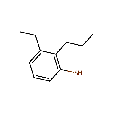 CCCc1c(S)cccc1CC